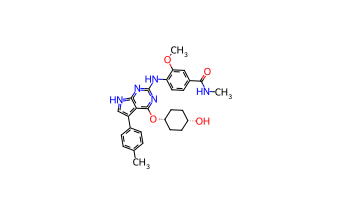 CNC(=O)c1ccc(Nc2nc(O[C@H]3CC[C@@H](O)CC3)c3c(-c4ccc(C)cc4)c[nH]c3n2)c(OC)c1